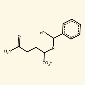 CCCC(NC(CCC(N)=O)C(=O)O)c1ccccc1